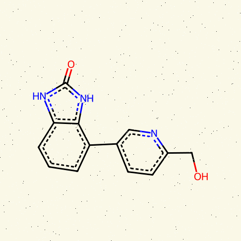 O=c1[nH]c2cccc(-c3ccc(CO)nc3)c2[nH]1